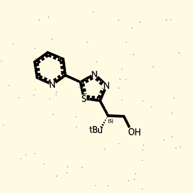 CC(C)(C)[C@@H](CO)c1nnc(-c2ccccn2)s1